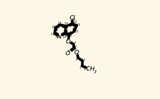 CCCCOC(=O)COc1ccc(Cl)c2cccnc12